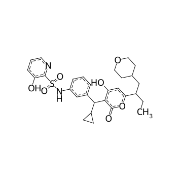 CCC(CC1CCOCC1)c1cc(O)c(C(c2cccc(NS(=O)(=O)c3ncccc3O)c2)C2CC2)c(=O)o1